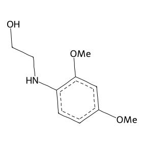 COc1ccc(NCCO)c(OC)c1